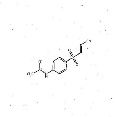 N#CC=CS(=O)(=O)c1ccc(N[S+]([O-])C(Cl)(Cl)Cl)cc1